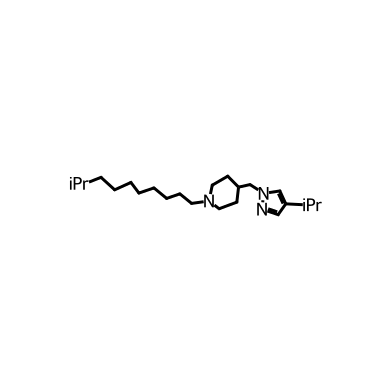 CC(C)CCCCCCCCN1CCC(Cn2cc(C(C)C)cn2)CC1